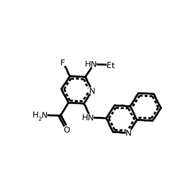 CCNc1nc(Nc2cnc3ccccc3c2)c(C(N)=O)cc1F